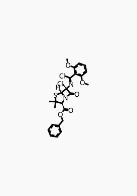 COc1cccc(OC)c1C(Cl)=N[C@]1(Cl)C(=O)N2[C@@H](C(=O)OCc3ccccc3)C(C)(C)S[C@@H]21